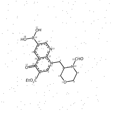 CCOC(=O)c1cn(CC2COCCN2C=O)c2ncc(B(O)O)cc2c1=O